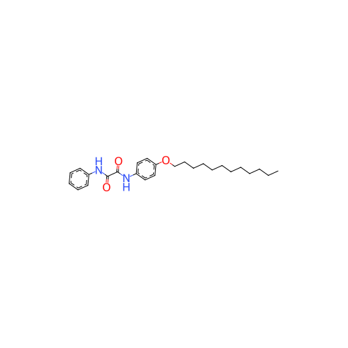 CCCCCCCCCCCCOc1ccc(NC(=O)C(=O)Nc2ccccc2)cc1